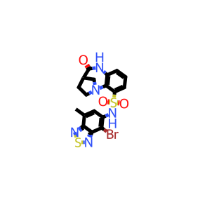 Cc1cc(NS(=O)(=O)c2cccc3c2N2CCC(C2)C(=O)N3)c(Br)c2nsnc12